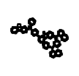 c1ccc(C(c2cccc(N(c3ccc4sc5c(-c6ccc(N(c7ccccc7)c7ccc8c(c7)oc7ccccc78)cc6)cccc5c4c3)c3cccc4ccccc34)c2)c2cccc3ccccc23)cc1